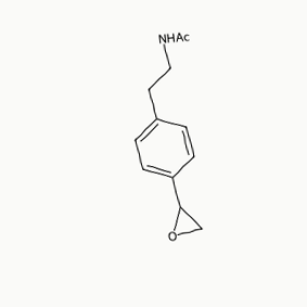 CC(=O)NCCc1ccc(C2CO2)cc1